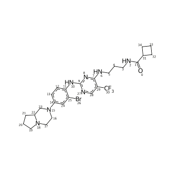 O=C(NCCCNc1nc(Nc2ccc(N3CCN4CCCC4C3)cc2Br)ncc1C(F)(F)F)C1CCC1